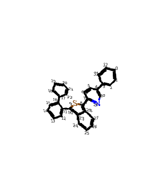 c1ccc(-c2ccc(-c3sc(-c4ccccc4-c4ccccc4)c4ccccc34)nc2)cc1